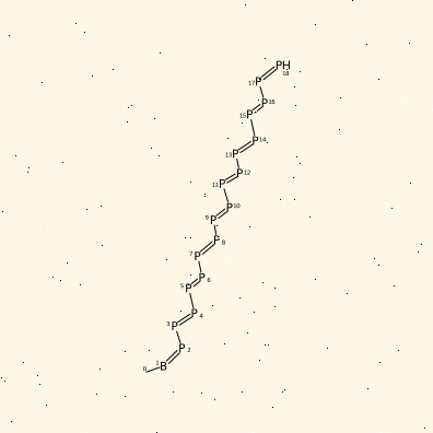 CB=PP=PP=PP=PP=PP=PP=PP=PP=P